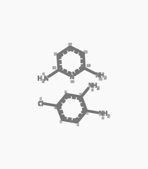 Nc1ccc(Cl)cc1N.Nc1cccc(N)n1